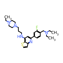 CCN1CCN(CCCNc2cc(-c3ccc(CN(CC)CC)c(F)c3)nc3ccsc23)CC1